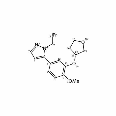 COc1ccc(-c2ccnn2CC(C)C)cc1O[C@@H]1CCOC1